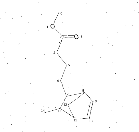 COC(=O)CCCC1C2C=CC(C2)C1C